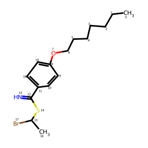 CCCCCCCOc1ccc(C(=N)SC(C)Br)cc1